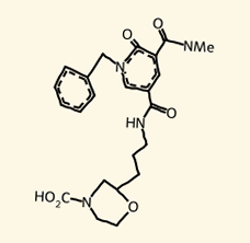 CNC(=O)c1cc(C(=O)NCCCC2CN(C(=O)O)CCO2)cn(Cc2ccccc2)c1=O